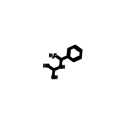 CN(NB(O)O)c1ccccc1